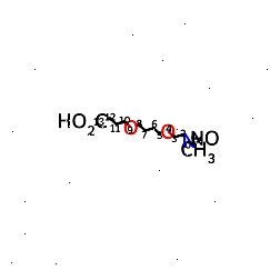 CN(CCOCCCCOCCCC(=O)O)N=O